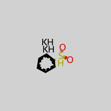 O=[SH](=O)c1ccccc1.[KH].[KH]